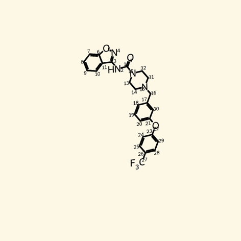 O=C(Nc1noc2ccccc12)N1CCN(Cc2cccc(Oc3ccc(C(F)(F)F)cc3)c2)CC1